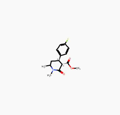 COC(=O)[C@@H]1C(=O)N(C)C(C)C[C@H]1c1ccc(F)cc1